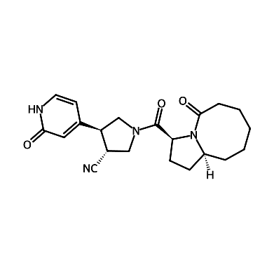 N#C[C@H]1CN(C(=O)[C@@H]2CC[C@@H]3CCCCCC(=O)N32)C[C@@H]1c1cc[nH]c(=O)c1